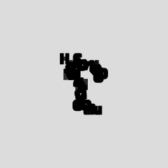 Cc1cc(CN2CCS(=O)(=O)CC2)ccc1-c1cccc2ncc(-c3cnn(C4CCN(C(=O)OC(C)(C)C)CC4)c3)nc12